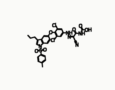 CCCc1cn(S(=O)(=O)c2ccc(C)cc2)c2ccc(Oc3c(Cl)cc(NN=C(C#N)C(=O)NC(=O)O)cc3Cl)cc12